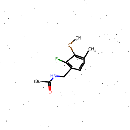 Cc1ccc(CNC(=O)C(C)(C)C)c(F)c1SC#N